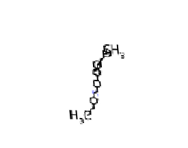 CCCCC1CCC(/C=C/C2CCC(c3ccc(OCCCCOC)cc3)CC2)CC1